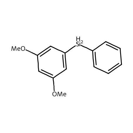 COc1cc(OC)cc([SiH2]c2ccccc2)c1